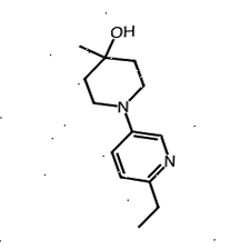 CCc1ccc(N2CCC(C)(O)CC2)cn1